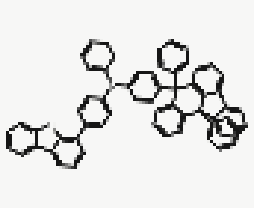 C1=CCCC(N(c2ccc(-c3cccc4c3oc3ccccc34)cc2)c2ccc(C3(c4ccccc4)c4ccccc4C4(c5ccccc5)c5ccccc5-c5cccc3c54)cc2)=C1